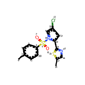 Cc1ccc(S(=O)(=O)n2cc(Cl)cc2-c2ncc(C)s2)cc1